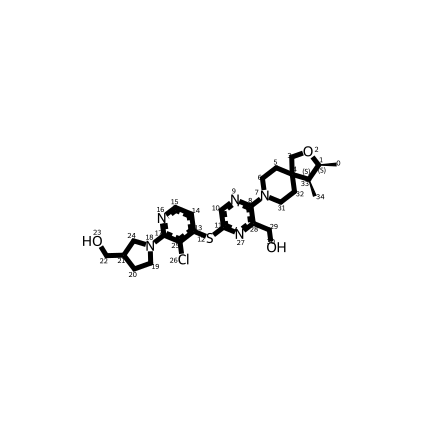 C[C@@H]1OCC2(CCN(c3ncc(Sc4ccnc(N5CCC(CO)C5)c4Cl)nc3CO)CC2)[C@@H]1C